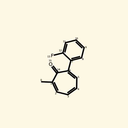 Cc1ccccc(-c2ccccc2F)c1=O